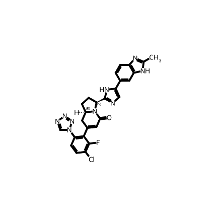 Cc1nc2ccc(-c3cnc([C@@H]4CC[C@@H]5CC(c6c(-n7cnnn7)ccc(Cl)c6F)=CC(=O)N54)[nH]3)cc2[nH]1